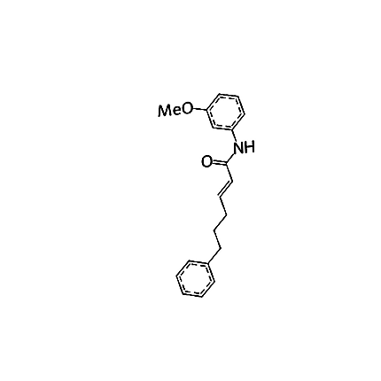 COc1cccc(NC(=O)C=CCCCc2ccccc2)c1